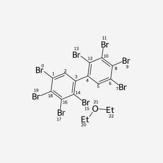 Brc1cc(-c2cc(Br)c(Br)c(Br)c2Br)c(Br)c(Br)c1Br.CCOCC